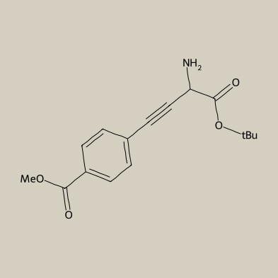 COC(=O)c1ccc(C#CC(N)C(=O)OC(C)(C)C)cc1